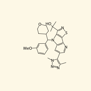 COc1cccc(C(C2CCOCC2)n2c3cc(-c4c(C)nnn4C)cnc3c3snc(C(C)(C)O)c32)c1